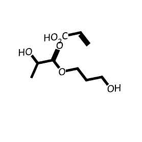 C=CC(=O)O.CC(O)C(=O)OCCCO